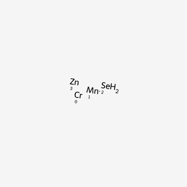 [Cr].[Mn].[SeH2].[Zn]